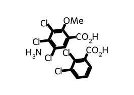 COc1c(C(=O)O)cc(Cl)c(Cl)c1Cl.N.O=C(O)c1cccc(Cl)c1Cl